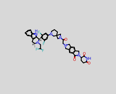 C[C@@H]1Cc2c([nH]c3ccccc23)[C@@H](c2c(F)cc(N3CCCC4(CN(C(=O)CN5Cc6cc7c(cc6C5)C(=O)N(C5CCC(=O)NC5=O)C7)C4)C3)cc2F)N1CC(F)F